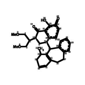 COCC(COC)N1CN(C2C3=C(C=CCC3C)CCc3ccccc32)n2ccc(=O)c(O)c2C1=O